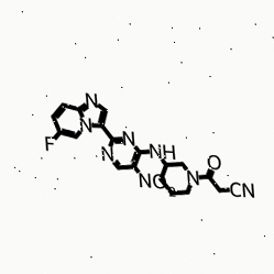 N#CCC(=O)N1CCCC(Nc2nc(-c3cnc4ccc(F)cn34)ncc2[N+](=O)[O-])C1